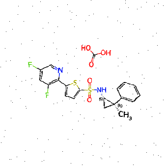 C[C@]1(c2ccccc2)C[C@@H]1NS(=O)(=O)c1ccc(-c2ncc(F)cc2F)s1.O=C(O)O